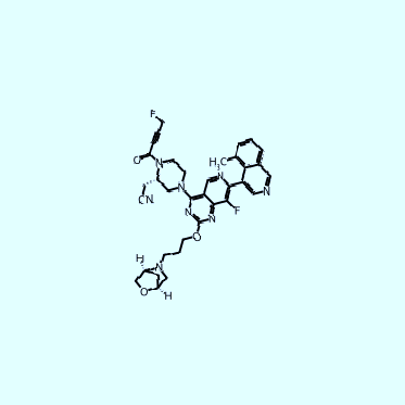 Cc1cccc2cncc(-c3ncc4c(N5CCN(C(=O)C#CCF)[C@@H](CC#N)C5)nc(OCCCN5C[C@@H]6C[C@H]5CO6)nc4c3F)c12